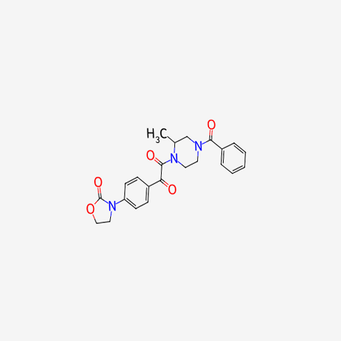 CC1CN(C(=O)c2ccccc2)CCN1C(=O)C(=O)c1ccc(N2CCOC2=O)cc1